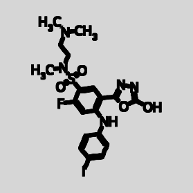 CN(C)CCN(C)S(=O)(=O)c1cc(-c2nnc(O)o2)c(Nc2ccc(I)cc2)cc1F